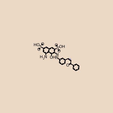 Nc1cc(S(=O)(=O)O)cc2cc(S(=O)(=O)O)c(N=Nc3cccc(/C=C\C(=O)c4ccccc4)c3)c(O)c12